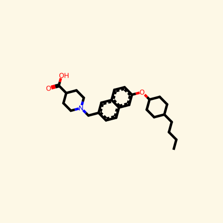 CCCCC1CCC(Oc2ccc3cc(CN4CCC(C(=O)O)CC4)ccc3c2)CC1